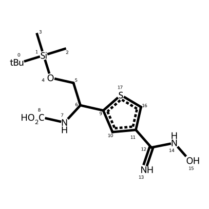 CC(C)(C)[Si](C)(C)OCC(NC(=O)O)c1cc(C(=N)NO)cs1